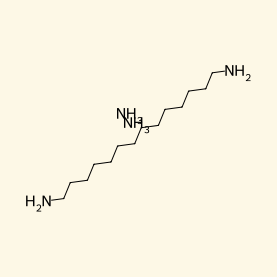 N.N.NCCCCCCCCCCCCCCN